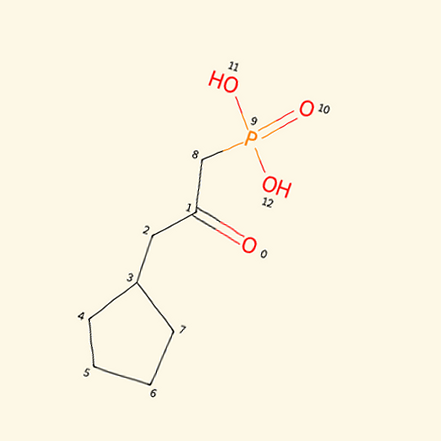 O=C(CC1CCCC1)CP(=O)(O)O